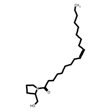 CCCCCCCC/C=C\CCCCCCCC(=O)N1CCCC1CO